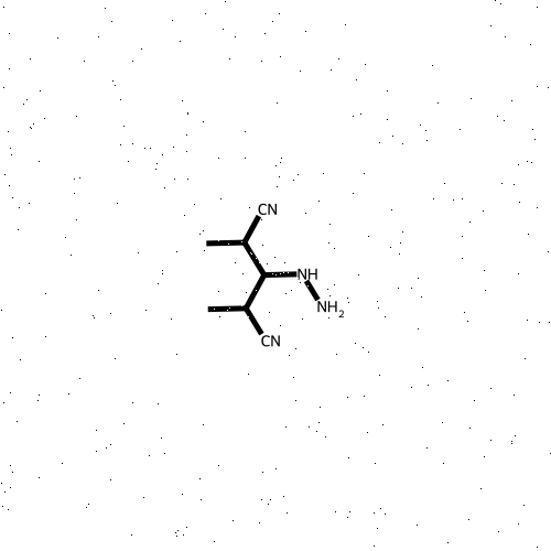 CC(C#N)C(NN)C(C)C#N